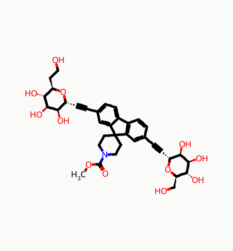 COC(=O)N1CCC2(CC1)c1cc(C#C[C@H]3O[C@H](CO)[C@@H](O)[C@H](O)[C@@H]3O)ccc1-c1ccc(C#C[C@H]3O[C@H](CCO)[C@@H](O)[C@H](O)[C@@H]3O)cc12